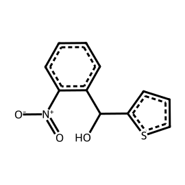 O=[N+]([O-])c1ccccc1C(O)c1cccs1